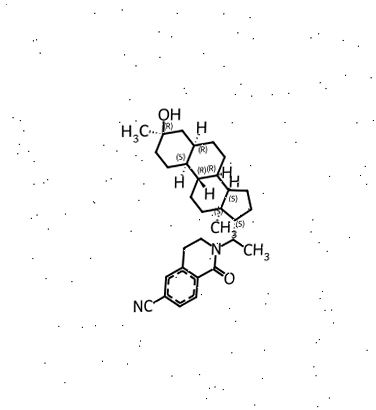 CC([C@H]1CC[C@H]2[C@@H]3CC[C@@H]4C[C@](C)(O)CC[C@@H]4[C@H]3CC[C@]12C)N1CCc2cc(C#N)ccc2C1=O